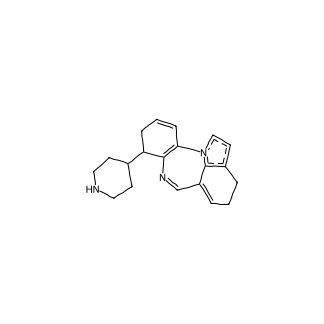 C1=CC2=C(N=CC3=CCCc4ccn2c43)C(C2CCNCC2)C1